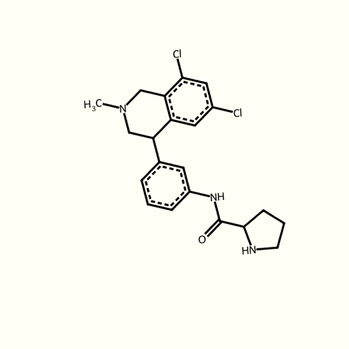 CN1Cc2c(Cl)cc(Cl)cc2C(c2cccc(NC(=O)C3CCCN3)c2)C1